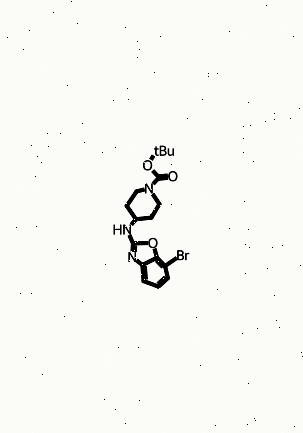 CC(C)(C)OC(=O)N1CCC(Nc2nc3cccc(Br)c3o2)CC1